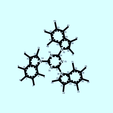 Cc1c(C)c(C)c2c(c1C)c(C)c(C)n2-c1nc(-n2c(C)c(C)c3c(C)c(C)c(C)c(C)c32)nc(-n2c(C)c(C)c3c(C)c(C)c(C)c(C)c32)n1